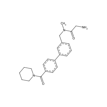 CN(Cc1cccc(-c2ccc(C(=O)N3CCCCC3)cc2)c1)C(=O)CN